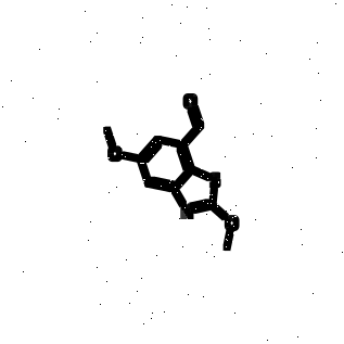 COc1cc(C=O)c2sc(OC)nc2c1